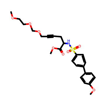 COCCOCOCC#CCC(NS(=O)(=O)c1ccc(-c2ccc(OC)cc2)cc1)C(=O)OC